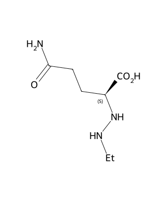 CCNN[C@@H](CCC(N)=O)C(=O)O